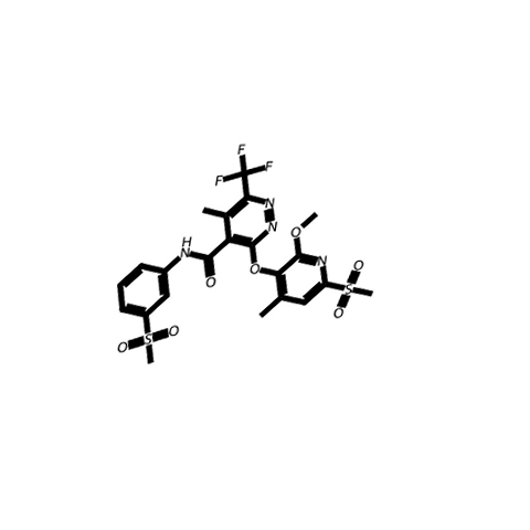 COc1nc(S(C)(=O)=O)cc(C)c1Oc1nnc(C(F)(F)F)c(C)c1C(=O)Nc1cccc(S(C)(=O)=O)c1